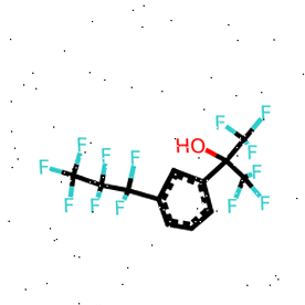 OC(c1cccc(C(F)(F)C(F)(F)C(F)(F)F)c1)(C(F)(F)F)C(F)(F)F